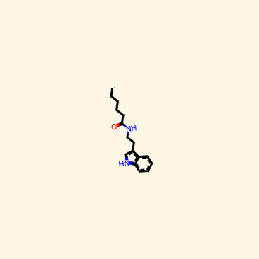 [CH2]CCC[CH]C(=O)NCCc1c[nH]c2ccccc12